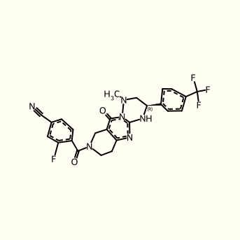 CN1C[C@@H](c2ccc(C(F)(F)F)cc2)Nc2nc3c(c(=O)n21)CN(C(=O)c1ccc(C#N)cc1F)CC3